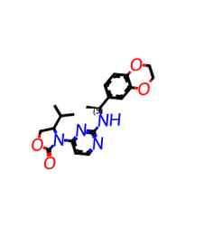 CC(C)C1COC(=O)N1c1ccnc(N[C@@H](C)c2ccc3c(c2)OCCO3)n1